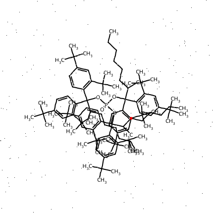 CCCCCCC(C)C(OP(=O)(OC(c1ccc(C(C)(C)C)cc1C(C)(C)C)(c1ccc(C(C)(C)C)cc1C(C)(C)C)C(C)CCCCCC)OC(c1ccc(C(C)(C)C)cc1C(C)(C)C)(c1ccc(C(C)(C)C)cc1C(C)(C)C)C(C)CCCCCC)(c1ccc(C(C)(C)C)cc1C(C)(C)C)c1ccc(C(C)(C)C)cc1C(C)(C)C